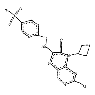 CCS(=O)(=O)c1ccc(CNc2nc3cnc(Cl)nc3n(C3CCC3)c2=O)nc1